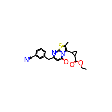 CCOC(=O)C1CC1c1c(C)sc2nc(Cc3cccc(C#N)c3)cc(=O)n12